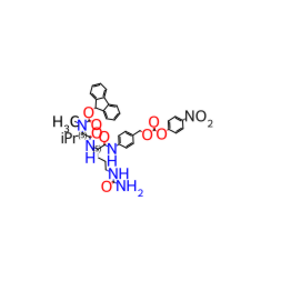 CC(C)[C@@H](C(=O)N[C@@H](CCCNC(N)=O)C(=O)Nc1ccc(COC(=O)Oc2ccc([N+](=O)[O-])cc2)cc1)N(C)C(=O)OC1c2ccccc2-c2ccccc21